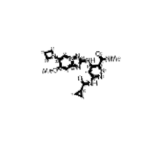 CNC(=O)c1nnc(NC(=O)C2CC2)cc1Nc1nc2cc(OC)c(N3CCC3)cn2n1